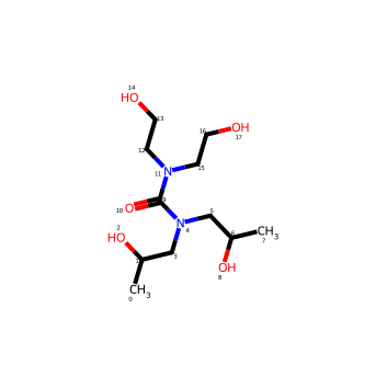 CC(O)CN(CC(C)O)C(=O)N(CCO)CCO